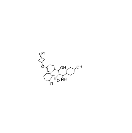 CCCN1CC(OC2=CCC(C(O)C3C(C4CCC(O)CC4)NO[C@@H]3[C@H]3CCCCC3Cl)CC2)C1